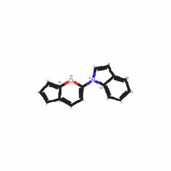 c1cc2ccc(-n3ccc4ccccc43)oc-2c1